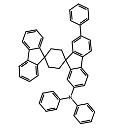 c1ccc(-c2ccc3c(c2)C2(CCC4(CC2)c2ccccc2-c2ccccc24)c2cc(N(c4ccccc4)c4ccccc4)ccc2-3)cc1